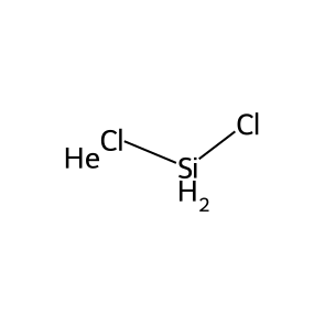 Cl[SiH2]Cl.[He]